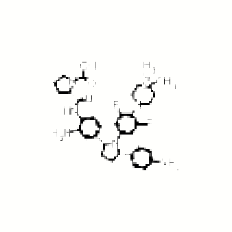 C[Si]1(C)CCN(c2c(F)cc(N3[C@H](c4ccc(N)cc4)CC[C@H]3c3ccc(NC(=O)[C@@H]4CCCN4C(=O)O)c(N)c3)cc2F)CC1